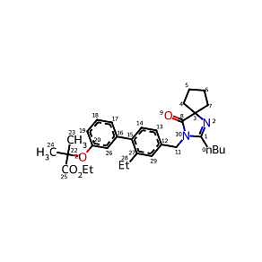 CCCCC1=NC2(CCCC2)C(=O)N1Cc1ccc(-c2cccc(OC(C)(C)C(=O)OCC)c2)c(CC)c1